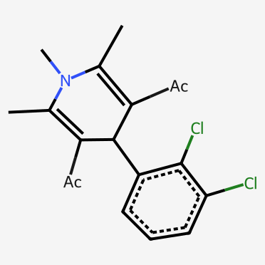 CC(=O)C1=C(C)N(C)C(C)=C(C(C)=O)C1c1cccc(Cl)c1Cl